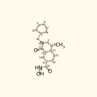 Cc1cn(Cc2ccccc2)c(=O)c2cc(C(=O)NO)ccc12